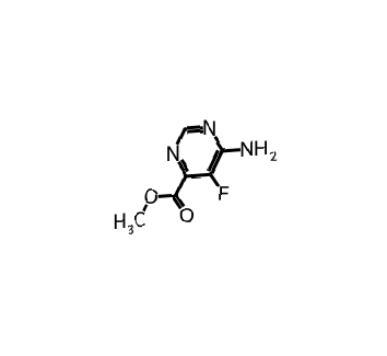 COC(=O)c1ncnc(N)c1F